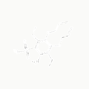 C=CCOc1c(CC)c(N)c(S(N)(=O)=O)c(CC)c1OCC=C